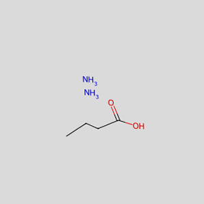 CCCC(=O)O.N.N